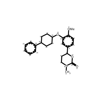 COc1ccc(C2CCN(C)C(=O)O2)cc1OC1CCC(c2ccccc2)CC1